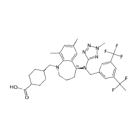 Cc1cc(C)c2c(c1)[C@@H](N(Cc1cc(C(C)(F)F)cc(C(F)(F)F)c1)c1nnn(C)n1)CCCN2CC1CCC(C(=O)O)CC1